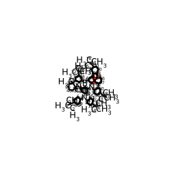 CC(C)(C)c1ccc(N(c2ccc(C(C)(C)C)cc2)c2cc3c4c(c2)N2c5c(cc(C(C)(C)C)cc5C5(C)CCCCC25C)B4c2cc4c(cc2N3c2ccc(C(C)(C)C)cc2-c2ccccc2)sc2ccc(C(C)(C)C)cc24)cc1